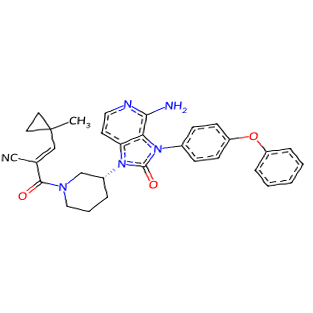 CC1(C=C(C#N)C(=O)N2CCC[C@@H](n3c(=O)n(-c4ccc(Oc5ccccc5)cc4)c4c(N)nccc43)C2)CC1